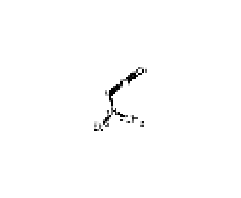 CCN(C)[C]=C=O